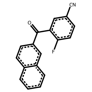 N#Cc1ccc(F)c(C(=O)c2ccc3ccccc3c2)c1